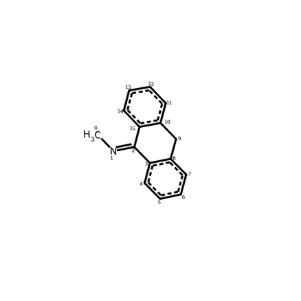 CN=C1c2ccccc2Cc2ccccc21